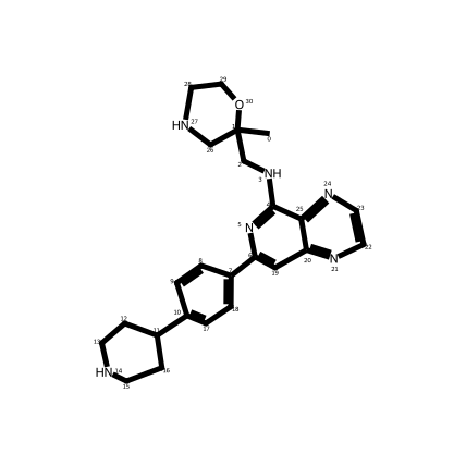 CC1(CNc2nc(-c3ccc(C4CCNCC4)cc3)cc3nccnc23)CNCCO1